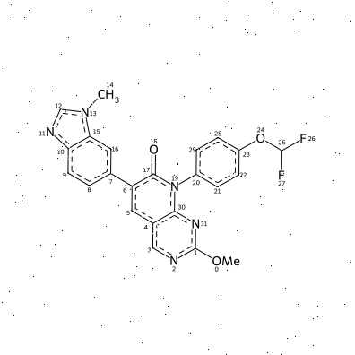 COc1ncc2cc(-c3ccc4ncn(C)c4c3)c(=O)n(-c3ccc(OC(F)F)cc3)c2n1